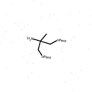 [CH2]C(N)(CCCCCC)CCCCCC